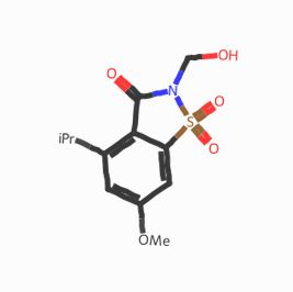 COc1cc(C(C)C)c2c(c1)S(=O)(=O)N(CO)C2=O